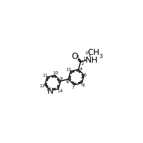 CNC(=O)c1c[c]cc(-c2cccnc2)c1